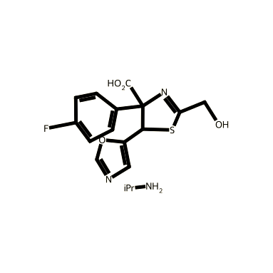 CC(C)N.O=C(O)C1(c2ccc(F)cc2)N=C(CO)SC1c1cnco1